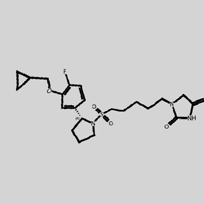 O=C1NC(=S)CN1CCCCCS(=O)(=O)N1CCC[C@@H]1c1ccc(F)c(OCC2CC2)c1